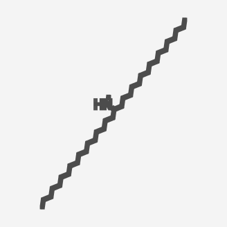 CCCCCCCCCCCCCCCCCC(CCCCCCCCCCCCCCCC)NC